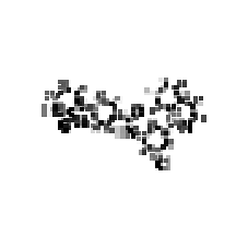 O=C(Nc1cc(Cl)cc(-c2nccc3ccccc23)c1)c1ccc(N2CCCNS2(=O)=O)cc1